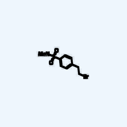 CNS(=O)(=O)c1ccc(CCBr)cc1